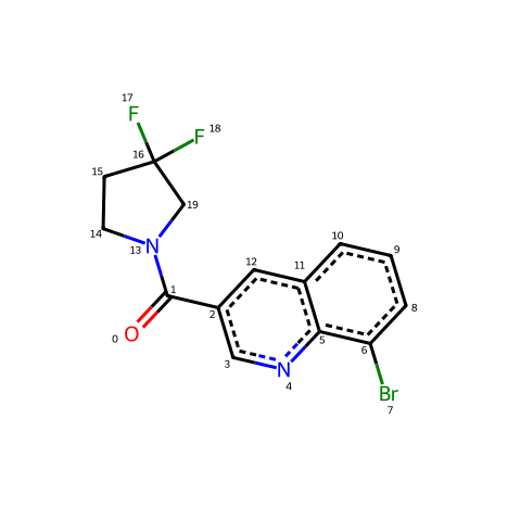 O=C(c1cnc2c(Br)cccc2c1)N1CCC(F)(F)C1